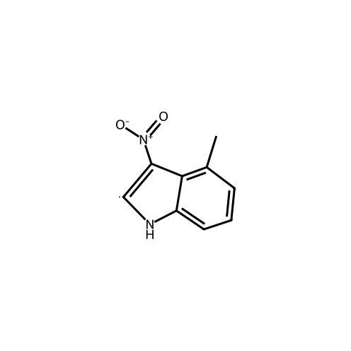 Cc1cccc2[nH][c]c([N+](=O)[O-])c12